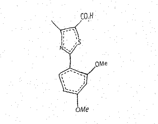 COc1ccc(-c2nc(C)c(C(=O)O)s2)c(OC)c1